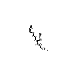 CCOC(=O)[C@H](CCCCN=[N+]=[N-])N=C=O